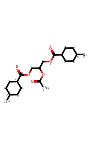 CCCCC(=O)OC(COC(=O)C1CCC(CC)CC1)COC(=O)C1CCC(CC)CC1